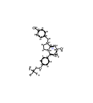 C=C(c1ccc(OCC(F)(F)F)cc1)N1CCN(Cc2ccc(Cl)nc2)/C1=N/[N+](=O)[O-]